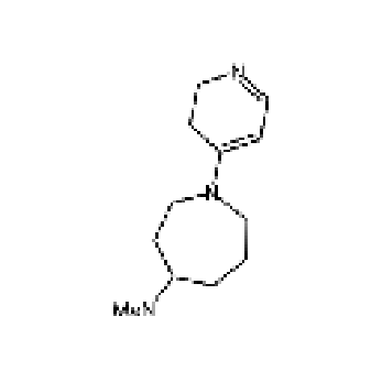 CNC1CCCN(C2=CC=NCC2)CC1